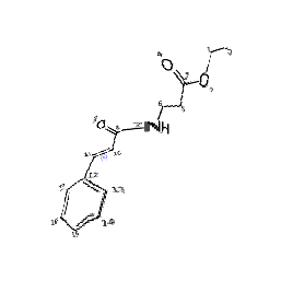 CCOC(=O)CCNC(=O)/C=C/c1ccccc1